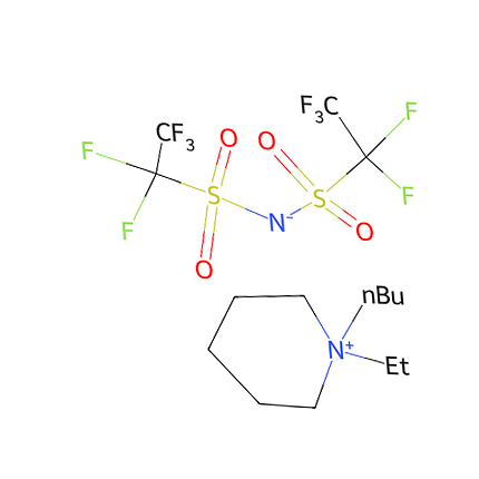 CCCC[N+]1(CC)CCCCC1.O=S(=O)([N-]S(=O)(=O)C(F)(F)C(F)(F)F)C(F)(F)C(F)(F)F